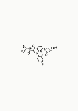 CCC(NC(=O)c1cn(-c2ccc(F)cc2F)c2nc(N3C[C@H](O)CC3=O)ccc2c1=O)C(F)(F)F